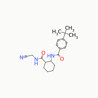 CC(C)(C)c1ccc(C(=O)NC2CCCCC2C(=O)NCC#N)cc1